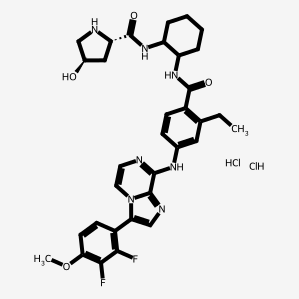 CCc1cc(Nc2nccn3c(-c4ccc(OC)c(F)c4F)cnc23)ccc1C(=O)NC1CCCCC1NC(=O)[C@@H]1C[C@@H](O)CN1.Cl.Cl